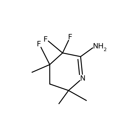 CC1(C)CC(C)(F)C(F)(F)C(N)=N1